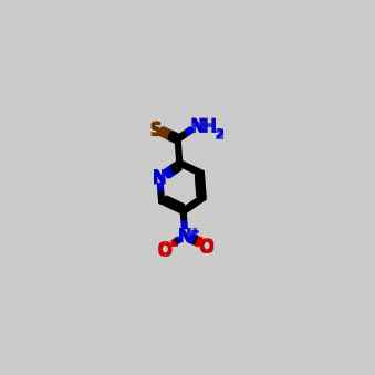 NC(=S)c1ccc([N+](=O)[O-])cn1